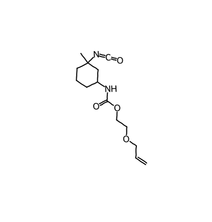 C=CCOCCOC(=O)NC1CCCC(C)(N=C=O)C1